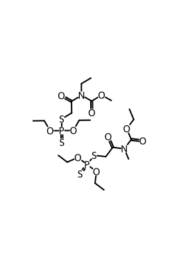 CCOC(=O)N(C)C(=O)CSP(=S)(OCC)OCC.CCOP(=S)(OCC)SCC(=O)N(CC)C(=O)OC